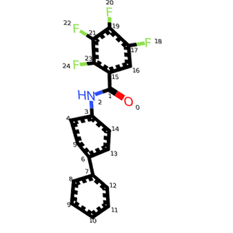 O=C(Nc1ccc(-c2ccccc2)cc1)c1cc(F)c(F)c(F)c1F